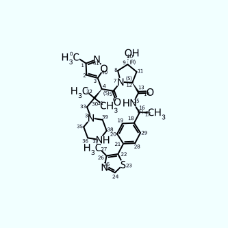 Cc1cc([C@@H](C(=O)N2C[C@H](O)C[C@H]2C(=O)N[C@@H](C)c2ccc(-c3scnc3C)cc2)C(C)(C)CN2CCNCC2)on1